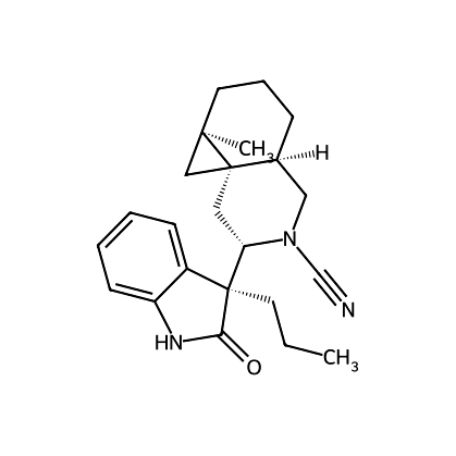 CCC[C@]1([C@@H]2C[C@]34C[C@@]3(C)CCC[C@H]4CN2C#N)C(=O)Nc2ccccc21